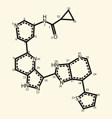 O=C(Nc1cncc(-c2ccc3[nH]nc(-c4nc5c(-c6cccs6)ccnc5[nH]4)c3n2)c1)C1CC1